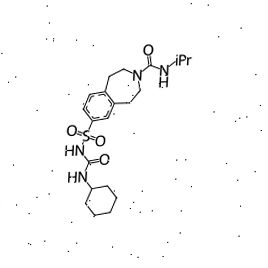 CC(C)NC(=O)N1CCc2ccc(S(=O)(=O)NC(=O)NC3CCCCC3)cc2CC1